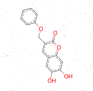 O=c1oc2cc(O)c(O)cc2cc1COc1ccccc1